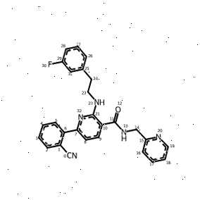 N#Cc1ccccc1-c1ccc(C(=O)NCc2ccccn2)c(NCCc2cccc(F)c2)n1